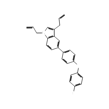 C=CCc1cn(CC=C)c2ccc(-c3ccc(Oc4ccc(F)cc4)cc3)cc12